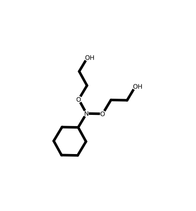 OCCON(OCCO)C1CCCCC1